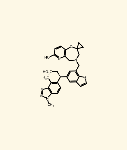 Cc1c([C@@H](CC(=O)O)c2cc(CN3Cc4nc(O)ccc4OC4(CC4)C3)c3sccc3c2)ccc2c1nnn2C